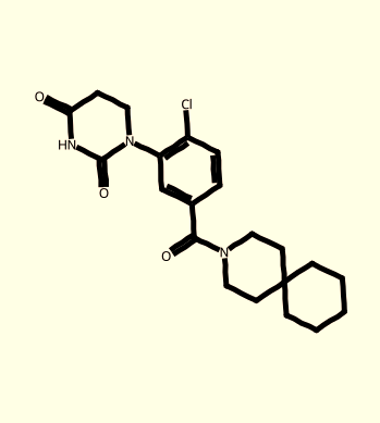 O=C1CCN(c2cc(C(=O)N3CCC4(CCCCC4)CC3)ccc2Cl)C(=O)N1